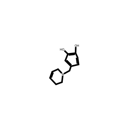 Oc1ccc(CN2CC=CCC2)cc1O